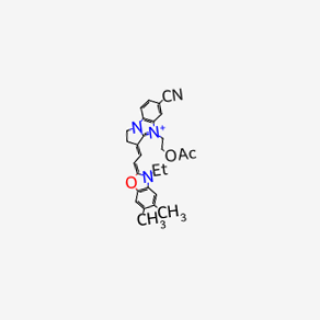 CCN1C(=CC=C2CCn3c2[n+](CCOC(C)=O)c2cc(C#N)ccc23)Oc2cc(C)c(C)cc21